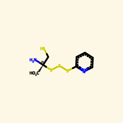 N[C@@](CS)(SSSc1ccccn1)C(=O)O